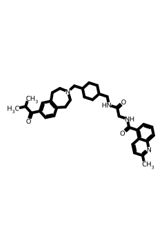 Cc1ccc2c(C(=O)NCC(=O)NCC3CCC(CN4CCc5ccc(C(=O)C(C)C)cc5CC4)CC3)cccc2n1